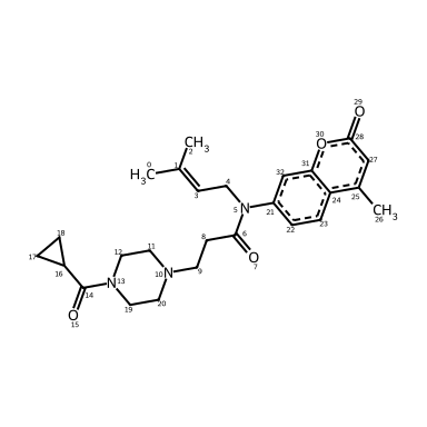 CC(C)=CCN(C(=O)CCN1CCN(C(=O)C2CC2)CC1)c1ccc2c(C)cc(=O)oc2c1